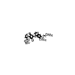 COCCOc1cc2ncnc(NC3=CC(=O)C(N4CCC[C@H]4C(=O)OC(C)(C)C)=CC3=O)c2cc1OC